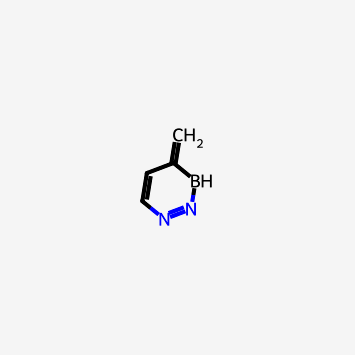 C=C1BN=NC=C1